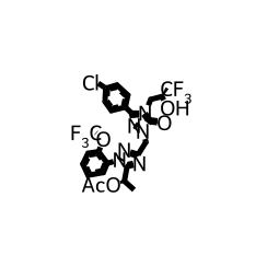 CC(=O)O[C@H](C)c1nc(Cn2nc(-c3ccc(Cl)cc3)n(C[C@H](O)C(F)(F)F)c2=O)nn1-c1ccccc1OC(F)(F)F